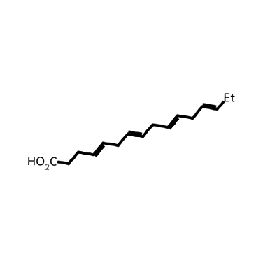 CC/C=C/C/C=C/C/C=C/C/C=C/CCC(=O)O